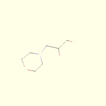 OC(CBr)CN1CCOCC1